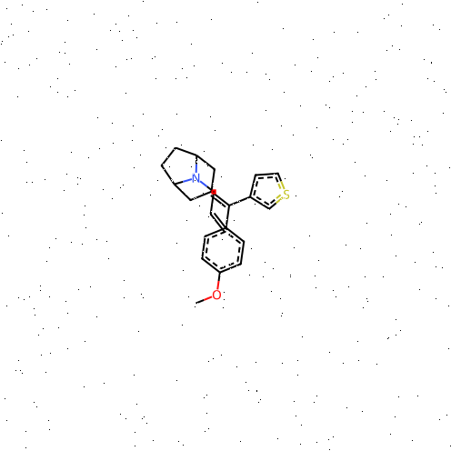 C=CCN1C2CCC1CC(=C(c1ccc(OC)cc1)c1ccsc1)C2